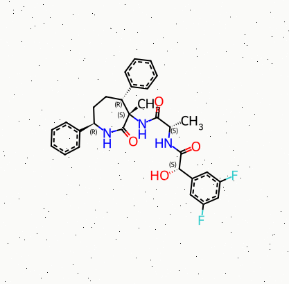 C[C@H](NC(=O)[C@@H](O)c1cc(F)cc(F)c1)C(=O)N[C@]1(C)C(=O)N[C@@H](c2ccccc2)CC[C@@H]1c1ccccc1